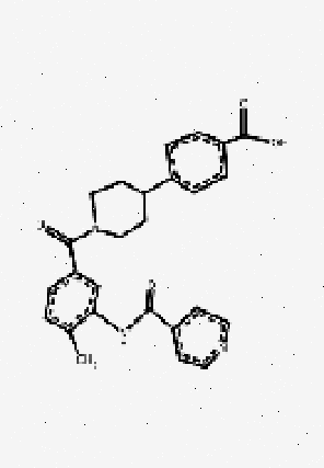 Cc1ccc(C(=O)N2CCC(c3ccc(C(=O)O)cc3)CC2)cc1NC(=O)c1ccncc1